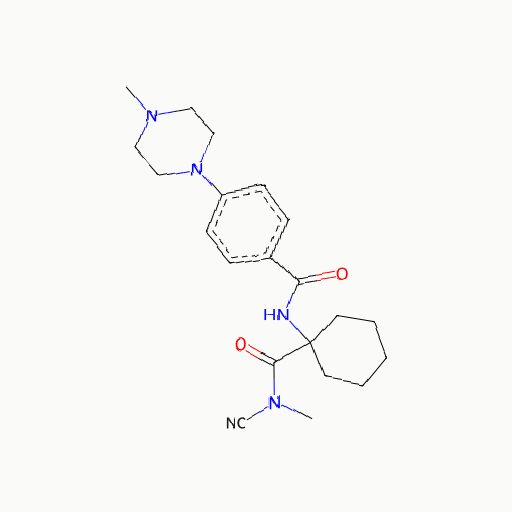 CN1CCN(c2ccc(C(=O)NC3(C(=O)N(C)C#N)CCCCC3)cc2)CC1